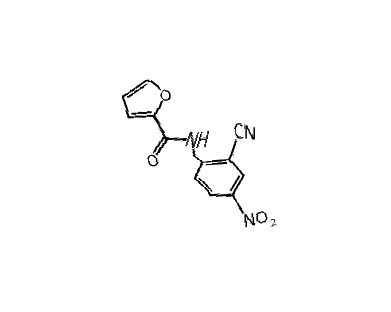 N#Cc1cc([N+](=O)[O-])ccc1NC(=O)c1ccco1